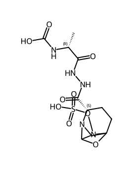 C[C@@H](NC(=O)O)C(=O)NNC(=O)[C@@H]1CCC23CN1C(O2)N3OS(=O)(=O)O